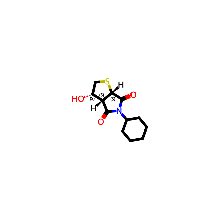 O=C1[C@@H]2[C@H](O)CS[C@@H]2C(=O)N1C1CCCCC1